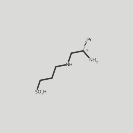 CC(C)[C@H](N)CNCCCS(=O)(=O)O